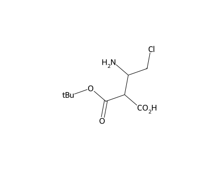 CC(C)(C)OC(=O)C(C(=O)O)C(N)CCl